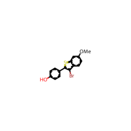 COc1ccc2c(Br)c(-c3ccc(O)cc3)sc2c1